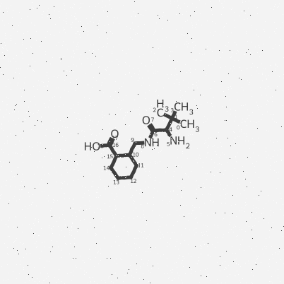 CC(C)(C)C(N)C(=O)NCC1CCCCC1C(=O)O